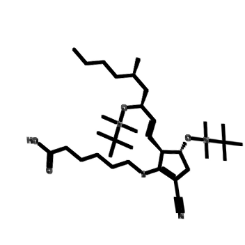 CCCC[C@@H](C)C[C@@H](/C=C/[C@@H]1C(SCCCCCC(=O)O)=C(C#N)C[C@H]1O[Si](C)(C)C(C)(C)C)O[Si](C)(C)C(C)(C)C